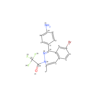 CC1=Cc2ccc(Br)cc2C(c2ccc(N)cc2)=NN1C(=O)C(F)(F)F